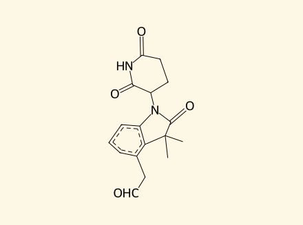 CC1(C)C(=O)N(C2CCC(=O)NC2=O)c2cccc(CC=O)c21